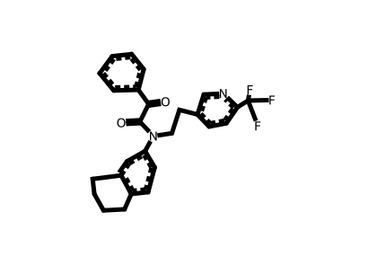 O=C(C(=O)N(CCc1ccc(C(F)(F)F)nc1)c1ccc2c(c1)CCCC2)c1ccccc1